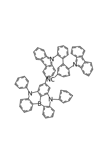 N#Cc1ccc(-n2c3ccccc3c3ccccc32)c(-c2ccccc2-n2c3ccccc3c3cc(-c4cc5c6c(c4)N(c4ccccc4)c4ccccc4B6c4ccccc4N5c4ccccc4)ccc32)c1